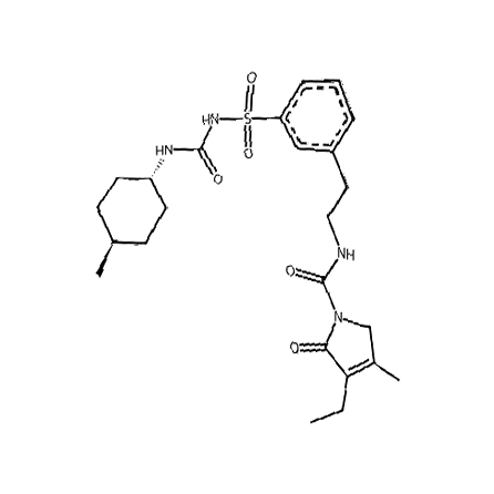 CCC1=C(C)CN(C(=O)NCCc2cccc(S(=O)(=O)NC(=O)N[C@H]3CC[C@H](C)CC3)c2)C1=O